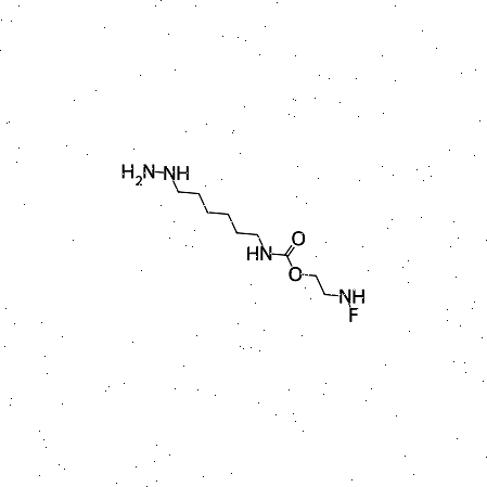 NNCCCCCCNC(=O)OCCNF